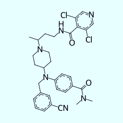 CC(CCNC(=O)c1c(Cl)cncc1Cl)N1CCC(N(Cc2cccc(C#N)c2)c2ccc(C(=O)N(C)C)cc2)CC1